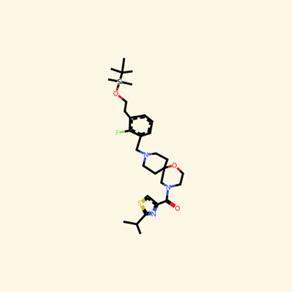 CC(C)c1nc(C(=O)N2CCOC3(CCN(Cc4cccc(CCO[Si](C)(C)C(C)(C)C)c4F)CC3)C2)cs1